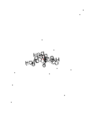 O=CCC1(N2CCC(C3CCN(CC(=O)O)CC3)CC2)CC(N2CCc3ccccc3NC2=O)CC[N@+]1(Cc1cc(Cl)c(O)c(Cl)c1)C(=O)[O-]